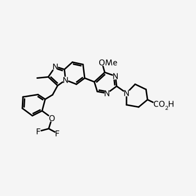 COc1nc(N2CCC(C(=O)O)CC2)ncc1-c1ccc2nc(C)c(Cc3ccccc3OC(F)F)n2c1